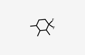 CC1CCC(F)(F)C(C)C1C